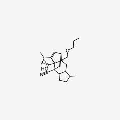 CCCOCC12CC3C(C)CCC3C3(C#N)CC1C=C(C(C)C)C32C(=O)O